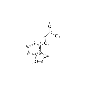 O=C(Cl)COc1cccc2c1OCO2